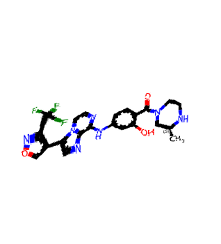 C[C@H]1CN(C(=O)c2ccc(Nc3nccn4c(-c5conc5C(F)(F)F)cnc34)cc2O)CCN1